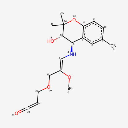 CC(C)OC(=CN[C@@H]1c2cc(C#N)ccc2OC(C)(C)[C@H]1O)COCC=C=O